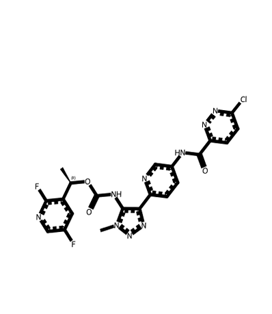 C[C@@H](OC(=O)Nc1c(-c2ccc(NC(=O)c3ccc(Cl)nn3)cn2)nnn1C)c1cc(F)cnc1F